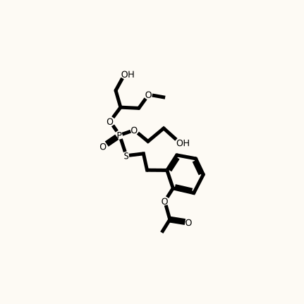 COCC(CO)OP(=O)(OCCO)SCCc1ccccc1OC(C)=O